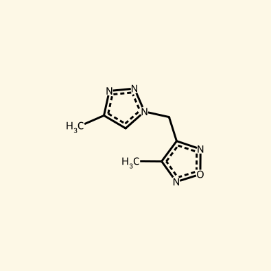 Cc1cn(Cc2nonc2C)nn1